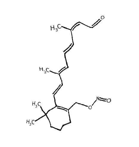 CC(=C/C=O)/C=C/C=C(C)/C=C/C1=C(CON=O)CCCC1(C)C